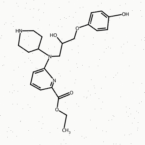 CCOC(=O)c1cccc(N(CC(O)COc2ccc(O)cc2)C2CCNCC2)n1